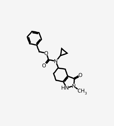 Cn1[nH]c2c(c1=O)CC(N(C(=O)OCc1ccccc1)C1CC1)CC2